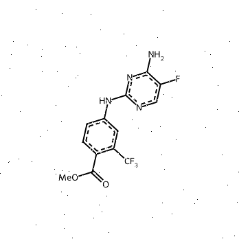 COC(=O)c1ccc(Nc2ncc(F)c(N)n2)cc1C(F)(F)F